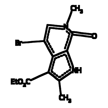 CCOC(=O)c1c(C)[nH]c2c(=O)n(C)cc(Br)c12